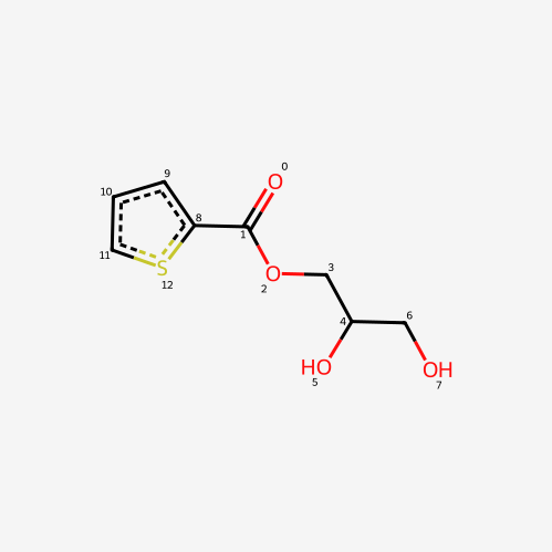 O=C(OCC(O)CO)c1cccs1